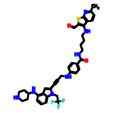 Cc1ccc2c(NCCCCNC(=O)c3ccc(NCC#Cc4cc5c(NC6CCNCC6)cccc5n4CC(F)(F)F)cc3)c(C=O)sc2n1